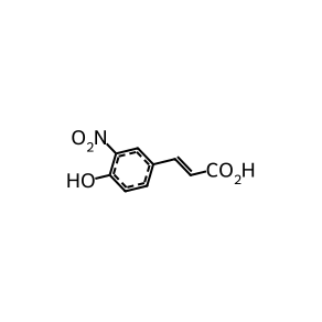 O=C(O)C=Cc1ccc(O)c([N+](=O)[O-])c1